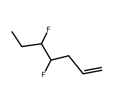 C=CCC(F)C(F)CC